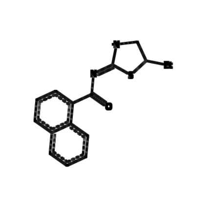 CCC1C[N]C(=NC(=O)c2cccc3ccccc23)S1